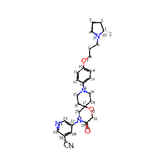 C[C@H]1CCCN1CCCOc1ccc(N2CCC3(CC2)CN(c2cncc(C#N)c2)C(=O)CO3)cc1